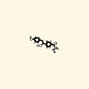 COc1ccc(CC(O)c2ccc(C(=O)N(C)OC)cc2)cc1